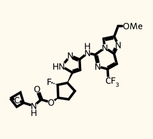 COCc1cn2c(Nc3cc([C@H]4CC[C@@H](OC(=O)NC56CC(C5)C6)[C@@H]4F)[nH]n3)nc(C(F)(F)F)cc2n1